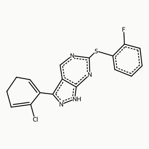 Fc1ccccc1Sc1ncc2c(C3=CCCC=C3Cl)n[nH]c2n1